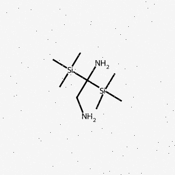 C[Si](C)(C)C(N)(CN)[Si](C)(C)C